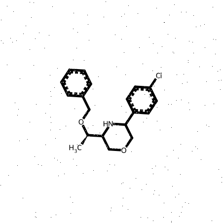 C[C@@H](OCc1ccccc1)C1COCC(c2ccc(Cl)cc2)N1